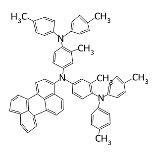 Cc1ccc(N(c2ccc(C)cc2)c2ccc(N(c3ccc(N(c4ccc(C)cc4)c4ccc(C)cc4)c(C)c3)c3ccc4c5cccc6cccc(c7cccc3c74)c65)cc2C)cc1